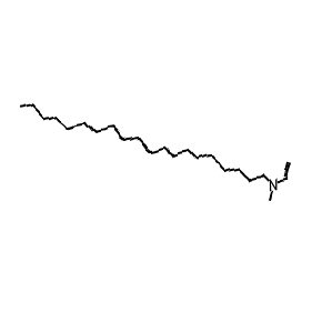 C=CN(C)CCCCCCCCCCCCCCCCCCCC